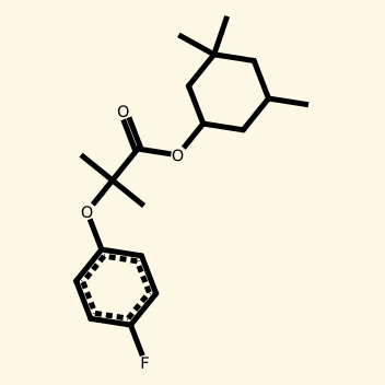 CC1CC(OC(=O)C(C)(C)Oc2ccc(F)cc2)CC(C)(C)C1